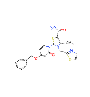 CC1=C(C(N)=O)SC(n2ccc(OCc3ccccc3)cc2=O)N1Cc1nccs1